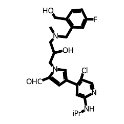 CC(C)Nc1cc(-c2cc(C=O)n(CC(O)CN(C)Cc3cc(F)ccc3CO)c2)c(Cl)cn1